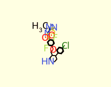 Cn1cns/c1=N\S(=O)(=O)c1cc(F)c(OCC2CNCCC2c2ccc(Cl)cc2)cc1F